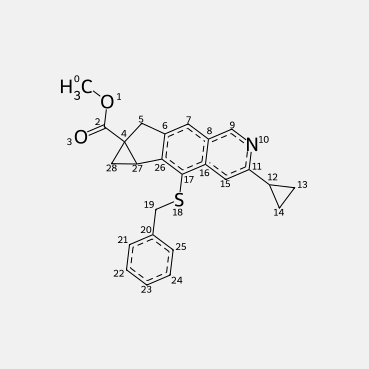 COC(=O)C12Cc3cc4cnc(C5CC5)cc4c(SCc4ccccc4)c3C1C2